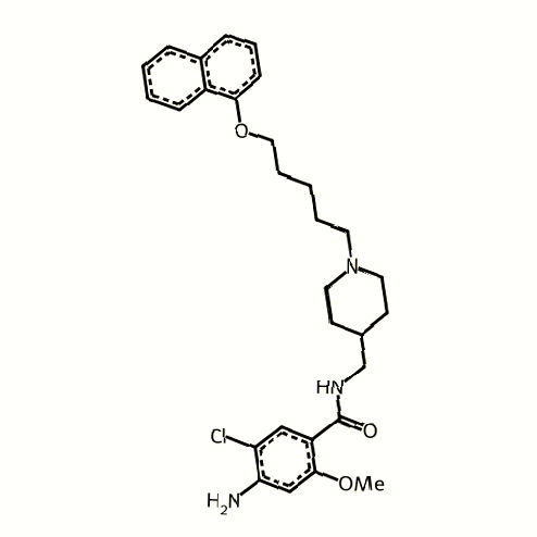 COc1cc(N)c(Cl)cc1C(=O)NCC1CCN(CCCCCOc2cccc3ccccc23)CC1